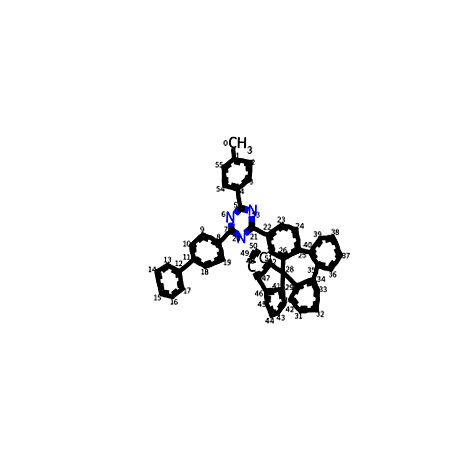 Cc1ccc(-c2nc(-c3ccc(-c4ccccc4)cc3)nc(-c3ccc4c(c3)C3(c5ccccc5-c5ccccc5-4)c4ccccc4-c4ccccc43)n2)cc1